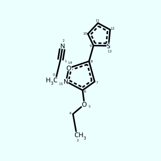 CC#N.CCOc1cc(-c2cccs2)on1